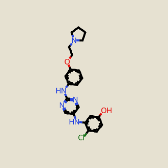 Oc1ccc(Cl)c(Nc2cnc(Nc3cccc(OCCN4CCCC4)c3)nc2)c1